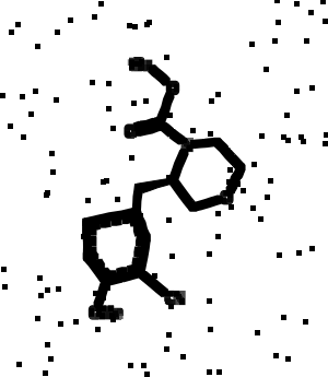 COc1ccc(C[C@@H]2COCCN2C(=O)OC(C)(C)C)cc1C#N